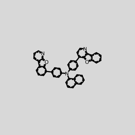 c1ccc2c(N(c3ccc(-c4cccc5c4oc4ncccc45)cc3)c3ccc(-c4ccnc5c4oc4ccccc45)cc3)cccc2c1